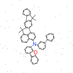 CC1(C)c2ccccc2-c2cc3c(cc21)-c1ccc(N(c2cccc(-c4ccccc4)c2)c2cccc4c2oc2ccccc24)c2cccc(c12)C3(C)C